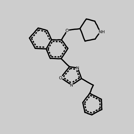 c1ccc(Cc2noc(-c3cc(OC4CCNCC4)c4ccccc4c3)n2)cc1